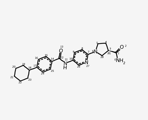 NC(=O)[C@@H]1CCN(c2ccc(NC(=O)c3ccc(C4CCCCC4)cc3)cn2)C1